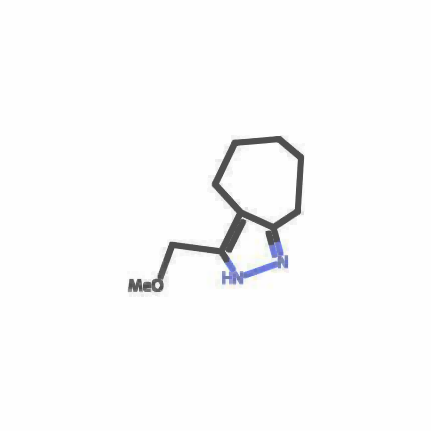 COCc1[nH]nc2c1CCCCC2